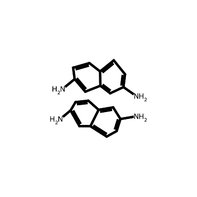 Nc1ccc2cc(N)ccc2c1.Nc1ccc2ccc(N)cc2c1